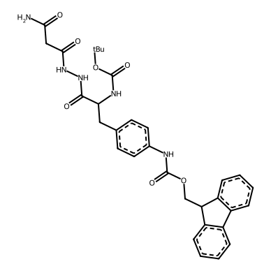 CC(C)(C)OC(=O)NC(Cc1ccc(NC(=O)OCC2c3ccccc3-c3ccccc32)cc1)C(=O)NNC(=O)CC(N)=O